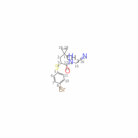 CC1(CC(Sc2ccc(Br)cc2)C(=O)NCC#N)CC1